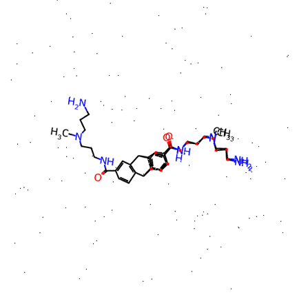 CN(CCCN)CCCNC(=O)c1ccc2c(c1)C1c3cc(C(=O)NCCCN(C)CCCN)ccc3C2c2ccc(C(=O)NCCCN(C)CCCN)cc21